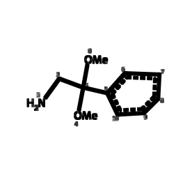 COC(CN)(OC)c1ccccc1